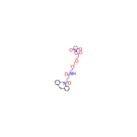 O=C(CCC(=O)N1Cc2ccccc2/C=C\c2ccccc21)NCCOCCOCCC(=O)ON1C(=O)CCC1=O